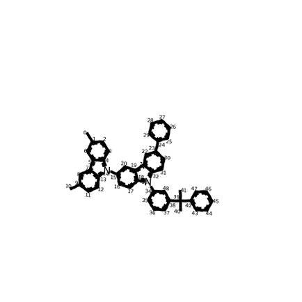 Cc1ccc2c(c1)c1cc(C)ccc1n2-c1ccc2c(c1)c1cc(-c3ccccc3)ccc1n2-c1cccc(C(C)(C)c2ccccc2)c1